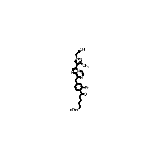 C#CCn1cc(-c2cnc3c(Cc4ccc(C(=O)CCCCCCCCCCCCCC)c(CC)c4)nccn23)c(C(F)(F)F)n1